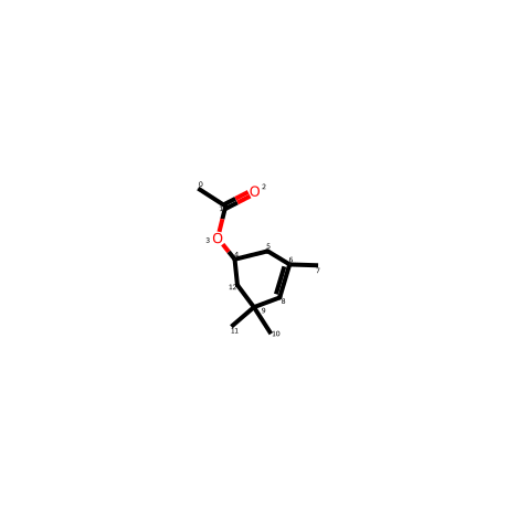 CC(=O)OC1CC(C)=CC(C)(C)C1